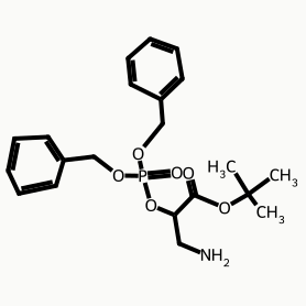 CC(C)(C)OC(=O)C(CN)OP(=O)(OCc1ccccc1)OCc1ccccc1